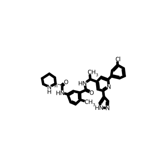 Cc1ccc(NC(=O)[C@H]2CCCCN2)cc1C(=O)NC(C)c1cc(-c2cn[nH]c2)nc(-c2cccc(Cl)c2)c1